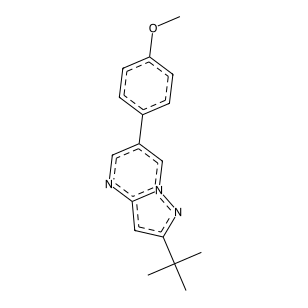 COc1ccc(-c2cnc3cc(C(C)(C)C)nn3c2)cc1